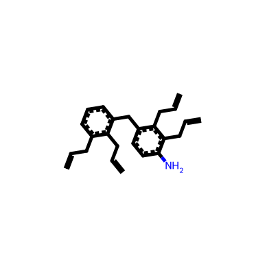 C=CCc1cccc(Cc2ccc(N)c(CC=C)c2CC=C)c1CC=C